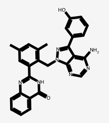 Cc1cc(C)c(Cn2nc(-c3cccc(O)c3)c3c(N)ncnc32)c(-c2nc3ccccc3c(=O)[nH]2)c1